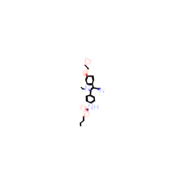 CCCCOC(=O)Nc1ccc(-c2c(C#N)c3ccc(OCCOC)cc3n2CC)cc1